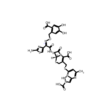 CC1=NC2=CN(C(=O)O)NN2C(SCC2=C(C(=O)O)N3C(=O)[C@@H](NC(=O)/C(=N\OCc4cc(O)c(O)cc4C(=O)O)c4csc(N)n4)[C@H]3SC2)=C1